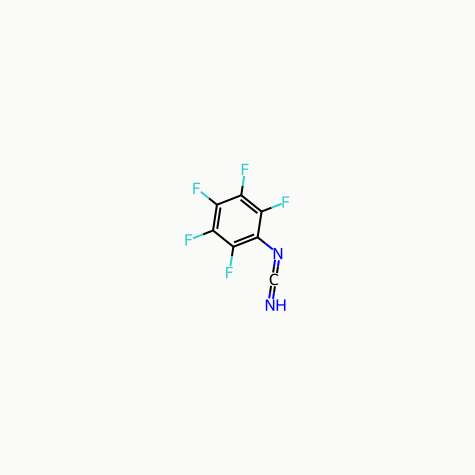 N=C=Nc1c(F)c(F)c(F)c(F)c1F